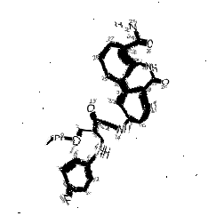 CC(C)OC[C@H](Nc1ccc(F)cc1)C(=O)Nc1ccc2c(=O)[nH]c3c(C(N)=O)cccc3c2c1